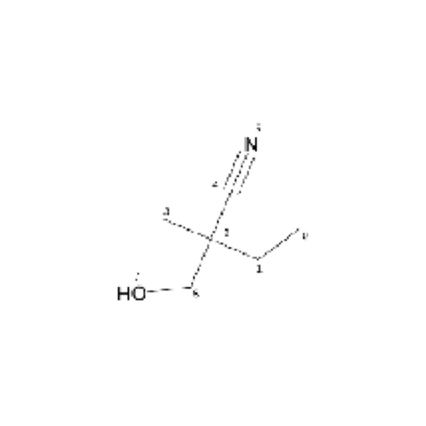 CCC(C)(C#N)CO